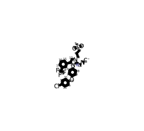 [C-]#[N+]/N=C1\N(CCCS(C)(=O)=O)CC(c2cccc(C(F)(F)F)c2)N1c1ccc(Oc2ccc(Cl)cc2)cc1